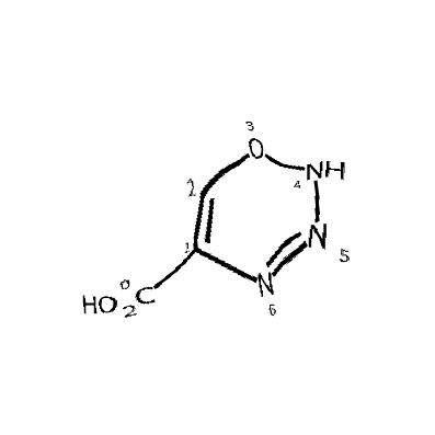 O=C(O)C1=CONN=N1